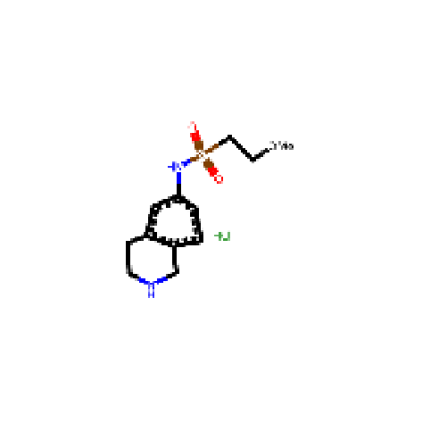 COCCS(=O)(=O)Nc1ccc2c(c1)CCNC2.Cl